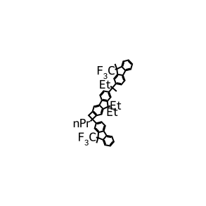 CCCC1(c2ccc3c(c2)C(C)(C(F)(F)F)c2ccccc2-3)Cc2cc3c(cc21)C(CC)(CC)c1cc(C(C)(CC)c2ccc4c(c2)C(C)(C(F)(F)F)c2ccccc2-4)ccc1-3